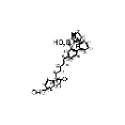 O=Cc1ccc2c(c1)oc(=O)n2CCC/C=C/c1ccc(-c2ccccc2)c(N(C(=O)O)[C@H]2CN3CCC2CC3)c1